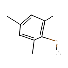 Cc1cc(C)c(SC#N)c(C)c1